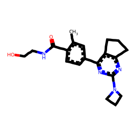 Cc1cc(-c2nc(N3CCC3)nc3c2CCC3)ccc1C(=O)NCCO